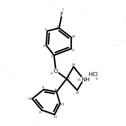 Cl.Fc1ccc(OC2(c3ccccc3)CNC2)cc1